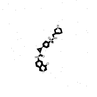 O=C(Nc1ccc2cncc(Cl)c2c1)[C@@H]1C[C@H]1c1ccc(S(=O)(=O)NCC2=CCCNC2)cc1